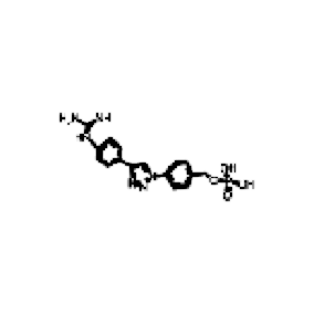 N=C(N)Nc1ccc(-c2cn(-c3ccc(COP(=O)(O)O)cc3)nn2)cc1